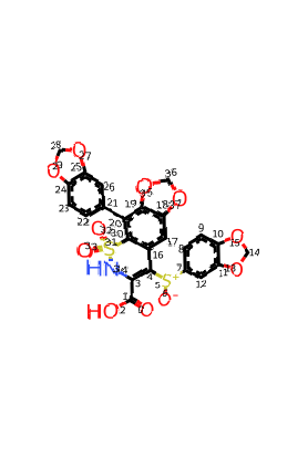 O=C(O)C1=C([S+]([O-])c2ccc3c(c2)OCO3)c2cc3c(c(-c4ccc5c(c4)OCO5)c2S(=O)(=O)N1)OCO3